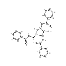 O=C(OC[C@H]1OC(OC(=O)c2ccccc2)[C@H](F)[C@@H]1OC(=O)c1ccccc1)c1ccccc1